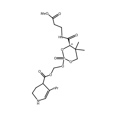 CCCC1=CNCCC1C(=O)OCOP1(=O)OCC(C)(C)[C@H](C(=O)NCCC(=O)OC)O1